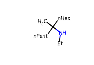 CCCCCCC(C)(CCCCC)NCC